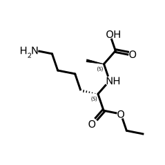 CCOC(=O)[C@H](CCCCN)N[C@@H](C)C(=O)O